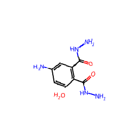 NNC(=O)c1ccc(N)cc1C(=O)NN.O